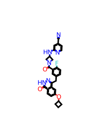 N#Cc1ccnc(NC2CN(C(=O)c3cc(Cc4n[nH]c(=O)c5ccc(OC6CCC6)cc45)ccc3F)C2)c1